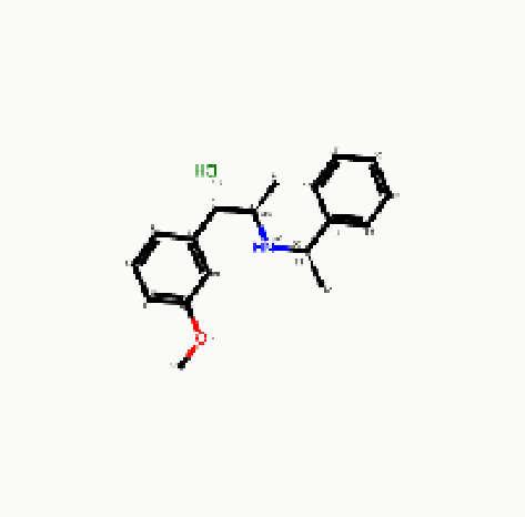 COc1cccc(C[C@@H](C)N[C@H](C)c2ccccc2)c1.Cl